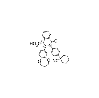 N#CC1(c2ccc(N3C(=O)c4ccccc4[C@@H](C(=O)O)[C@@H]3c3ccc4c(c3)OCCCO4)cc2)CCCCC1